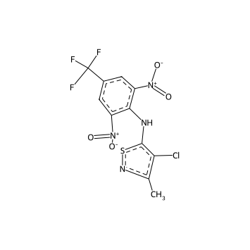 Cc1nsc(Nc2c([N+](=O)[O-])cc(C(F)(F)F)cc2[N+](=O)[O-])c1Cl